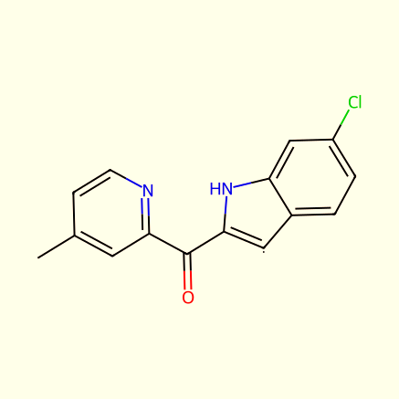 Cc1ccnc(C(=O)c2[c]c3ccc(Cl)cc3[nH]2)c1